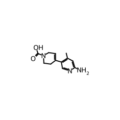 Cc1cc(N)ncc1C1=CCN(C(=O)O)CC1